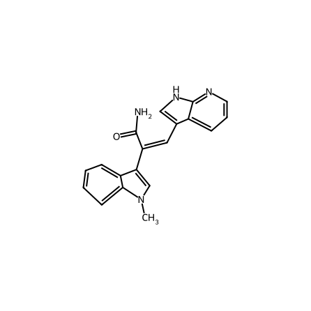 Cn1cc(C(=Cc2c[nH]c3ncccc23)C(N)=O)c2ccccc21